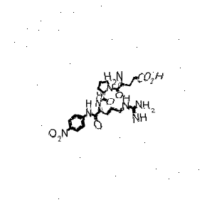 N=C(N)NCCC[C@H](NC(=O)[C@@H]1CCCN1C(=O)[C@@H](N)CCC(=O)O)C(=O)Nc1ccc([N+](=O)[O-])cc1